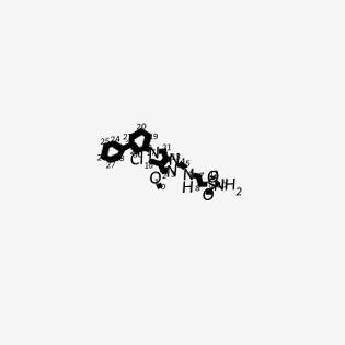 COc1nc(CNCCS(N)(=O)=O)nc2c1CN(c1cccc(-c3ccccc3)c1Cl)C2